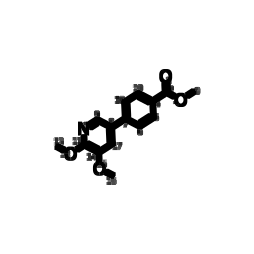 COC(=O)c1ccc(-c2cnc(OC)c(OC)c2)cc1